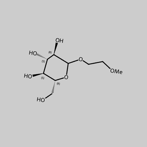 COCCOC1O[C@H](CO)[C@@H](O)[C@H](O)[C@H]1O